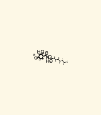 CCCCCCCC(=O)ONC(=O)c1ccc(OC)cc1O